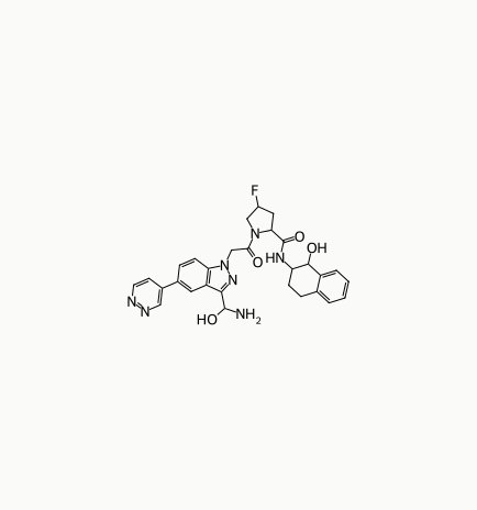 NC(O)c1nn(CC(=O)N2CC(F)CC2C(=O)NC2CCc3ccccc3C2O)c2ccc(-c3ccnnc3)cc12